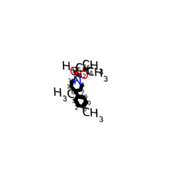 Cc1ccc(C2(C)CCN(C(=O)OC(C)(C)C)CC2)cc1